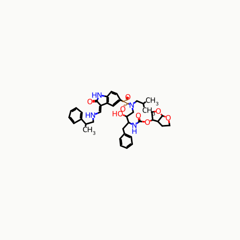 CC(C)CN(CC(O)C(Cc1ccccc1)NC(=O)OC1COC2OCCC12)S(=O)(=O)c1ccc2c(c1)/C(=C/NCC(C)c1ccccc1)C(=O)N2